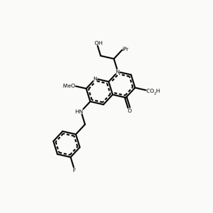 COc1nc2c(cc1NCc1cccc(F)c1)c(=O)c(C(=O)O)cn2C(CO)C(C)C